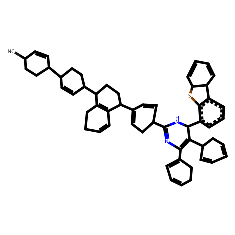 N#CC1C=CC(C2C=CC(C3CCC(C4=CCC(C5=NC(C6=CC=CCC6)=C(C6C=CC=CC6)C(c6cccc7c6SC6C=CC=CC76)N5)C=C4)C4=C3CCC=C4)CC2)CC1